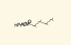 CCCN1CCN(C(=O)CCC=C(C)CCC=C(C)CCC=C(C)CCC=C(C)C)CC1